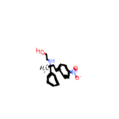 CC(CCc1ccc([N+](=O)[O-])cc1)(NCCO)c1ccccc1